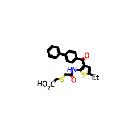 CCc1cc(C(=O)c2ccc(-c3ccccc3)cc2)c(NC(=O)CSCC(=O)O)s1